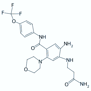 NC(=O)CCNc1cc(N2CCOCC2)c(C(=O)Nc2ccc(OC(F)(F)F)cc2)cc1N